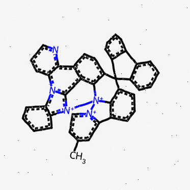 Cc1cc[n+]2c(c1)-c1cccc3c1[N+]21c2c(ccc4c5ncccc5n5c6ccccc6[n+]1c5c24)C31c2ccccc2-c2ccccc21